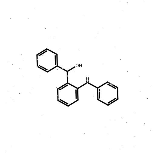 OC(c1ccccc1)c1ccccc1Nc1ccccc1